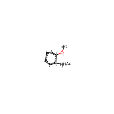 [CH2]C(=O)Nc1ccccc1OCC